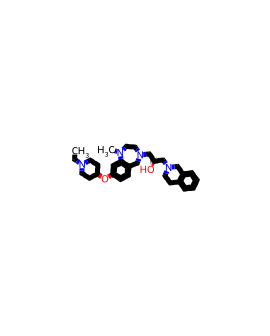 CCN1CCC(Oc2ccc3c(c2)N(C)CCN(C[C@H](O)CN2CCc4ccccc4C2)C3)CC1